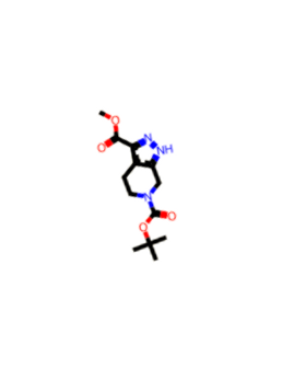 COC(=O)c1n[nH]c2c1CCN(C(=O)OC(C)(C)C)C2